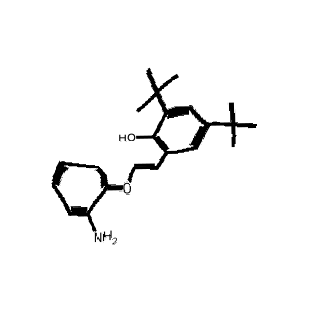 CC(C)(C)c1cc(C=COc2ccccc2N)c(O)c(C(C)(C)C)c1